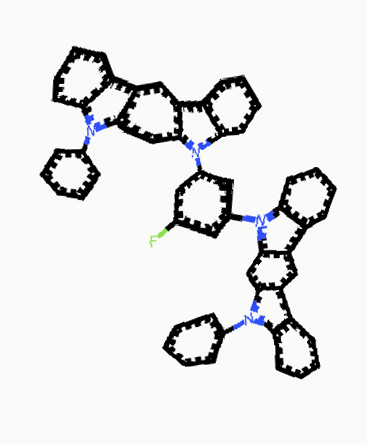 Fc1cc(-n2c3ccccc3c3cc4c5ccccc5n(-c5ccccc5)c4cc32)cc(-n2c3ccccc3c3cc4c5ccccc5n(-c5ccccc5)c4cc32)c1